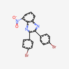 O=[N+]([O-])c1cccc2nc(-c3ccc(Br)cc3)c(-c3ccc(Br)cc3)nc12